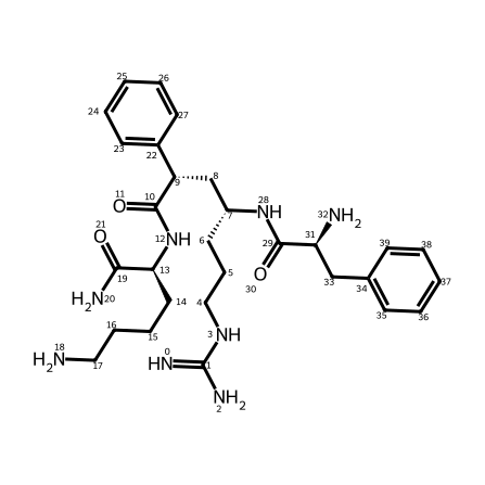 N=C(N)NCCC[C@H](C[C@H](C(=O)N[C@@H](CCCCN)C(N)=O)c1ccccc1)NC(=O)[C@@H](N)Cc1ccccc1